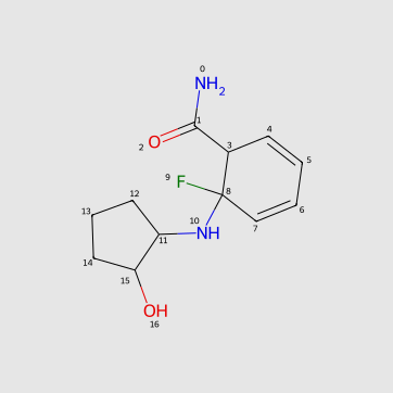 NC(=O)C1C=CC=CC1(F)NC1CCCC1O